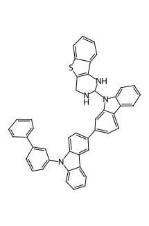 c1ccc(-c2cccc(-n3c4ccccc4c4cc(-c5ccc6c7ccccc7n(C7NCc8sc9ccccc9c8N7)c6c5)ccc43)c2)cc1